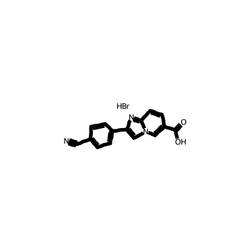 Br.N#Cc1ccc(-c2cn3cc(C(=O)O)ccc3n2)cc1